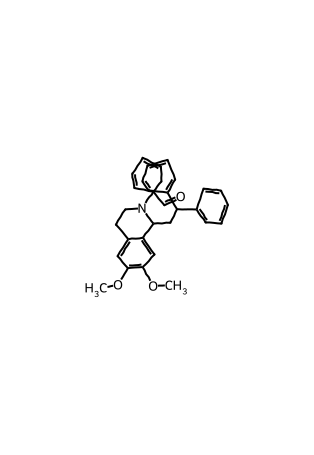 COc1cc2c(cc1OC)C(CC(c1ccccc1)c1ccccc1)N(C1(C=O)C=CC=CC1)CC2